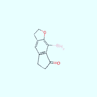 Bc1c2c(cc3c1C(=O)CC3)CCO2